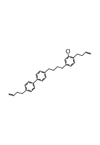 C=CCCc1ccc(-c2ccc(CCCCc3ccc(CCC=C)c(Cl)c3)cc2)cc1